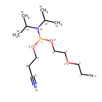 [2H]CCOCCOP(OCCC#N)N(C(C)C)C(C)C